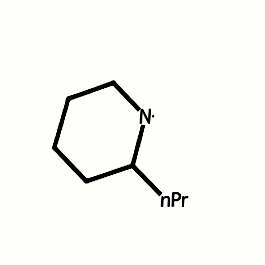 CCCC1CCCC[N]1